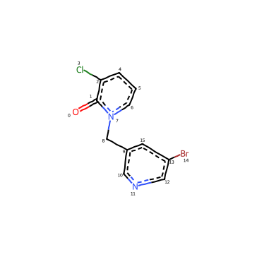 O=c1c(Cl)cccn1Cc1cncc(Br)c1